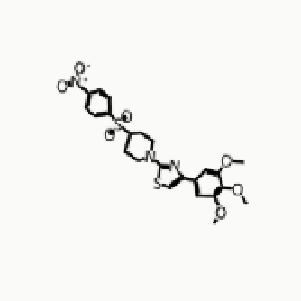 COc1cc(-c2csc(N3CCC(S(=O)(=O)c4ccc([N+](=O)[O-])cc4)CC3)n2)cc(OC)c1OC